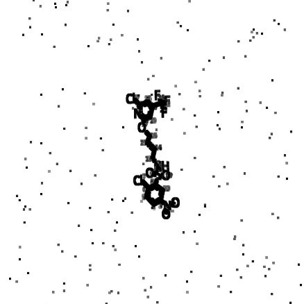 O=[N+]([O-])c1ccc(Cl)c(S(=O)(=O)NCC=CCOc2cc(C(F)(F)F)cc(Cl)n2)c1